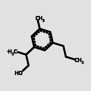 [CH2]C(CO)c1cc(C)cc(CCC)c1